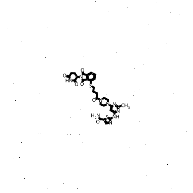 Cc1nc(Nc2ncc(C(N)=O)s2)cc(N2CCN(C(=O)CCCSc3cccc4c3C(=O)N(C3CCC(=O)NC3=O)C4=O)CC2)n1